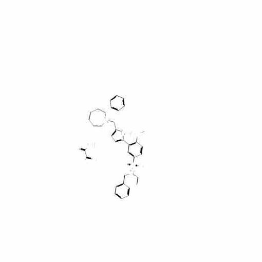 CCN(Cc1ccccc1)S(=O)(=O)c1ccc(OC)c(-c2ccc(CN3CCCCC[C@@H]3c3ccccc3)[nH]2)c1.O=C(O)C(=O)O